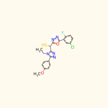 CCn1c(-c2ccc(OC)cc2)nnc1C(S)c1nnc(-c2cc(Cl)ccc2F)o1